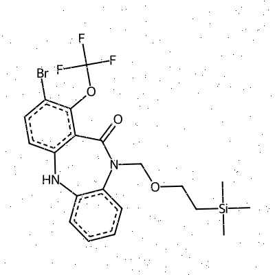 C[Si](C)(C)CCOCN1C(=O)c2c(ccc(Br)c2OC(F)(F)F)Nc2ccccc21